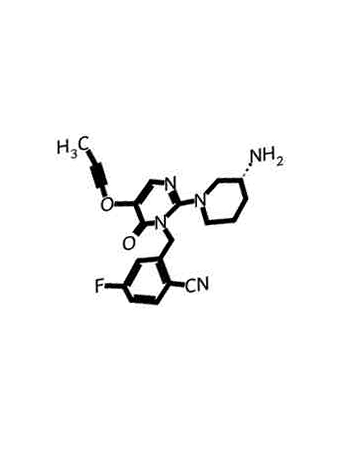 CC#COc1cnc(N2CCC[C@@H](N)C2)n(Cc2cc(F)ccc2C#N)c1=O